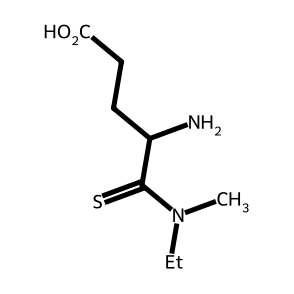 CCN(C)C(=S)C(N)CCC(=O)O